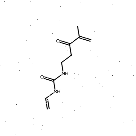 C=CNC(=O)NCCC(=O)C(=C)C